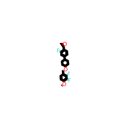 COc1ccc(COC2CCC(c3ccc(C4CO4)c(F)c3)CC2)c(F)c1F